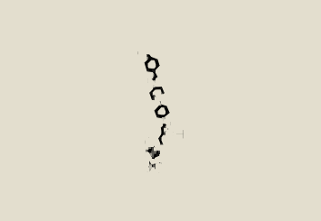 O=[N+]([O-])c1cn(CCC(O)COc2ccc(N3CCC(OCc4ccc(Cl)cc4)CC3)cc2)c(Cl)n1